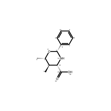 C[C@H]1[C@H](C)O[C@H](c2ccccc2)N[C@@H]1C(=O)O